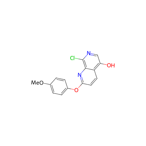 COc1ccc(Oc2ccc3c(O)cnc(Cl)c3n2)cc1